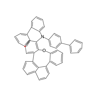 c1ccc(-c2ccc(N(c3ccccc3-c3ccccc3)c3cccc4c3Oc3ccccc3-c3cccc5cccc-4c35)cc2)cc1